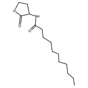 CCCCCCCCCCC(=O)NC1CCOC1=O